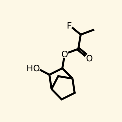 CC(F)C(=O)OC1C2CCC(C2)C1O